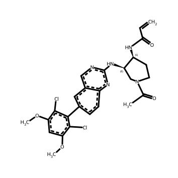 C=CC(=O)N[C@H]1CCN(C(C)=O)C[C@H]1Nc1ncc2cc(-c3c(Cl)c(OC)cc(OC)c3Cl)ccc2n1